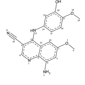 COc1cc(N)c2ncc(C#N)c(Nc3ccc(OC)c(O)c3)c2c1